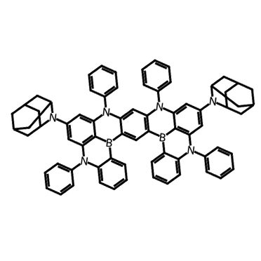 c1ccc(N2c3ccccc3B3c4cc5c(cc4N(c4ccccc4)c4cc(N6C7CC8CC(C7)CC6C8)cc2c43)N(c2ccccc2)c2cc(N3C4CC6CC(C4)CC3C6)cc3c2B5c2ccccc2N3c2ccccc2)cc1